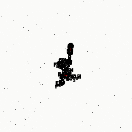 COC(=O)N[C@H](C(=O)N[C@@H](Cc1ccc(C#Cc2ccc(N3CC4CC(C3)N4C3COC3)nc2)cc1)[C@@H](O)CN(Cc1c(F)cc(-c2ccn(CC(F)F)n2)cc1F)NC(=O)[C@@H](NC(=O)O)C(C)(C)C(F)(F)F)C(C)(C)C(F)(F)F